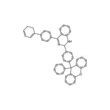 C1=CCCC(c2ccc(C3=NC(c4ccc(C5(c6ccccc6)c6ccccc6Oc6ccccc65)cc4)Nc4ccccc43)cc2)=C1